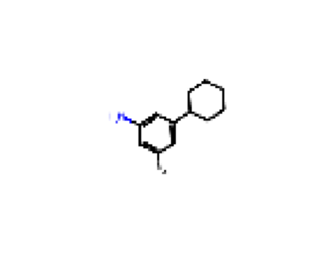 CC(C)c1cc(N)cc(C2CCCCC2)c1